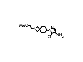 COCCN1CC2(CCC(n3ncc(N)c3Cl)CC2)C1